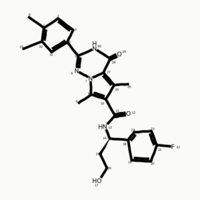 Cc1ccc(-c2nn3c(C)c(C(=O)N[C@H](CCO)c4ccc(F)cc4)c(C)c3c(=O)[nH]2)cc1C